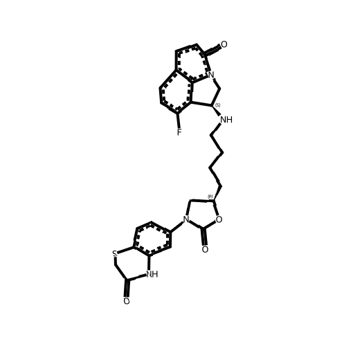 O=C1CSc2ccc(N3C[C@@H](CCCCN[C@@H]4Cn5c(=O)ccc6ccc(F)c4c65)OC3=O)cc2N1